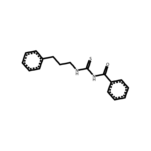 O=C(NC(=S)NCCCc1ccccc1)c1ccccc1